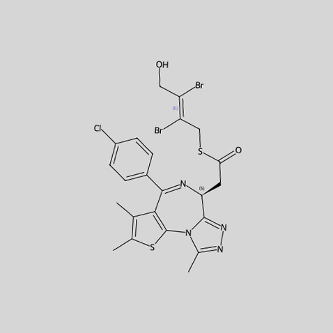 Cc1sc2c(c1C)C(c1ccc(Cl)cc1)=N[C@@H](CC(=O)SC/C(Br)=C(\Br)CO)c1nnc(C)n1-2